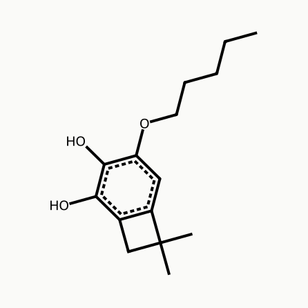 CCCCCOc1cc2c(c(O)c1O)CC2(C)C